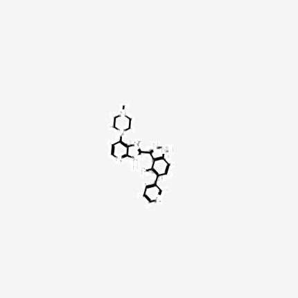 CN1CCN(c2ccnc3[nH]c(-c4n[nH]c5ccc(-c6cccnc6)c(F)c45)nc23)CC1